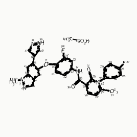 CS(=O)(=O)O.Cn1ncc2cc(Oc3ccc(NC(=O)c4ccc(C(F)(F)F)n(-c5ccc(F)cc5)c4=O)cc3F)c(-c3cn[nH]c3)cc21